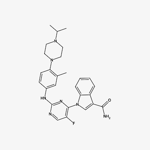 Cc1cc(Nc2ncc(F)c(-n3cc(C(N)=O)c4ccccc43)n2)ccc1N1CCN(C(C)C)CC1